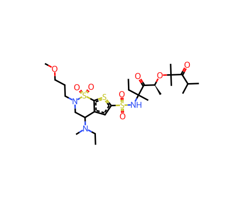 CCN(C)C1CN(CCCOC)S(=O)(=O)c2sc(S(=O)(=O)NC(C)(CC)C(=O)[C@H](C)OC(C)(C)C(=O)C(C)C)cc21